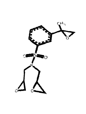 CC1(c2cccc(S(=O)(=O)N(CC3CO3)CC3CO3)c2)CO1